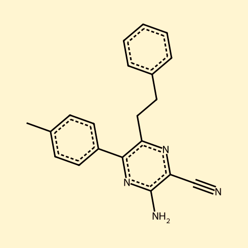 Cc1ccc(-c2nc(N)c(C#N)nc2CCc2ccccc2)cc1